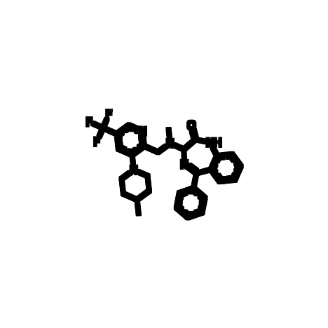 CC1CCN(c2cc(C(F)(F)F)cnc2CN(C)C2N=C(c3ccccc3)c3ccccc3NC2=O)CC1